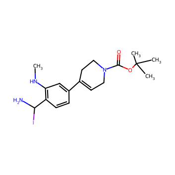 CNc1cc(C2=CCN(C(=O)OC(C)(C)C)CC2)ccc1C(N)I